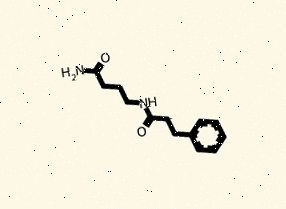 NC(=O)CCCNC(=O)[CH]Cc1ccccc1